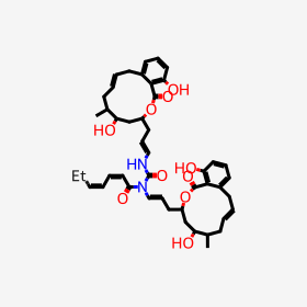 CC/C=C\C=C/C(=O)N(/C=C/CC1CC(O)C(C)C/C=C/Cc2cccc(O)c2C(=O)O1)C(=O)N/C=C/CC1CC(O)C(C)C/C=C/Cc2cccc(O)c2C(=O)O1